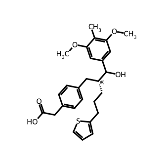 COc1cc(C(O)[C@H](CCCc2cccs2)Cc2ccc(CC(=O)O)cc2)cc(OC)c1C